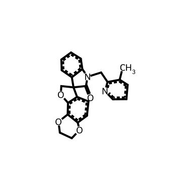 Cc1cccnc1CN1C(=O)C2(COc3c2ccc2c3OCCO2)c2ccccc21